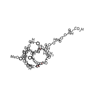 CC[C@@H]1NC(=O)C2NC(=O)[C@@H]3Cc4cn(c5ccc(F)cc45)CCCCCCN(Cc4ccc(cc4)CCNC(=O)[C@]4(C)CCCN4C(=O)[C@H](Cc4ccc(OC)cc4)NC1=O)C(=O)CCC(=O)N[C@@H](C)C(=O)N[C@H](CNC(=O)COCCOCCNC(=O)COCCOCCNC(=O)CCCC(=O)O)C(=O)N[C@@H](Cc1cccc(c1)CNC(=O)CO[C@H]2CC)C(=O)N3